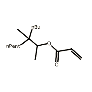 C=CC(=O)OC(C)C(C)(CCCC)CCCCC